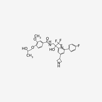 COc1cc(C(=O)NCC(O)(c2cc(C3CNC3)cc(-c3ccc(F)cc3)n2)C(F)(F)F)ccc1OCC(C)O